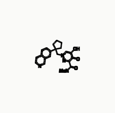 CNC(=O)c1nn(CC2(c3ccc4ccncc4c3)CCCC2)cc(O)c1=O